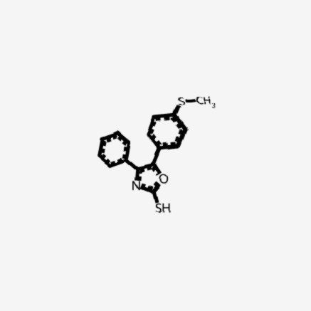 CSc1ccc(-c2oc(S)nc2-c2ccccc2)cc1